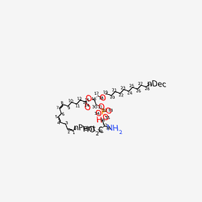 CCCCC/C=C\C/C=C\C/C=C\CCCCC(=O)O[C@H](COCCCCCCCCCCCCCCCCCCCC)COP(=O)(O)OC[C@H](N)C(=O)O